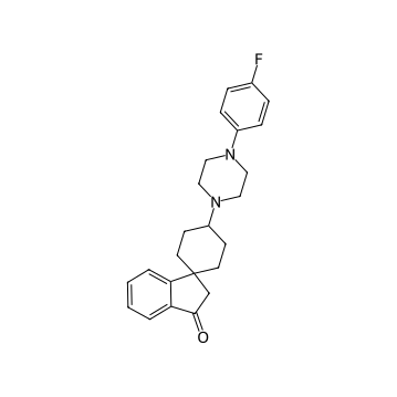 O=C1CC2(CCC(N3CCN(c4ccc(F)cc4)CC3)CC2)c2ccccc21